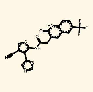 N#Cc1csc(NC(=O)Cc2cc3cc(C(F)(F)F)ccc3[nH]c2=O)c1-c1cncs1